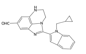 O=Cc1cc2c3c(c1)nc(-c1cc4ccccc4n1CC1CC1)n3CCN2